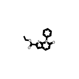 CCOC(=O)c1cc2ccc(=O)n(-c3ccccc3)c2s1